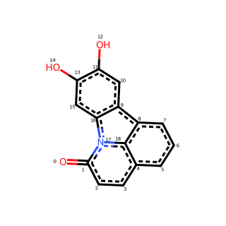 O=c1ccc2cccc3c4cc(O)c(O)cc4n1c23